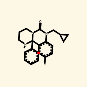 CN1CCCN2C(=O)N(CC3CC3)c3ccc(Cl)cc3C12c1ccccc1